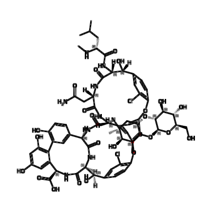 CN[C@H](CC(C)C)C(=O)N[C@H]1C(=O)N[C@@H](CC(N)=O)C(=O)N[C@H]2C(=O)N[C@H]3C(=O)N[C@H](C(=O)N[C@@H](C(=O)O)c4cc(O)cc(O)c4-c4cc3ccc4O)[C@H](O)c3ccc(c(Cl)c3)Oc3cc2cc(c3O[C@@H]2O[C@H](CO)[C@@H](O)[C@H](O)[C@H]2O[C@H]2C[C@](C)(N)[C@H](O)[C@H](C)O2)Oc2ccc(cc2Cl)[C@H]1O